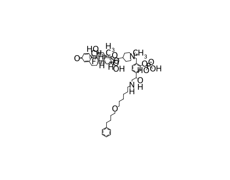 C[C@]12C=CC(=O)C=C1CC[C@H]1[C@@H]3C[C@H]4OC(C5CC[N+](C)(Cc6ccc(C(O)CNCCCCCCOCCCCc7ccccc7)cc6OP(=O)(O)O)CC5)O[C@@]4(C(=O)CO)[C@@]3(C)C[C@H](O)[C@@]12F